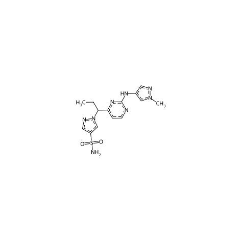 CCC(c1ccnc(Nc2cnn(C)c2)n1)n1cc(S(N)(=O)=O)cn1